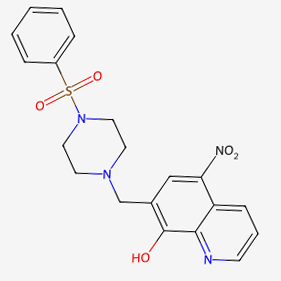 O=[N+]([O-])c1cc(CN2CCN(S(=O)(=O)c3ccccc3)CC2)c(O)c2ncccc12